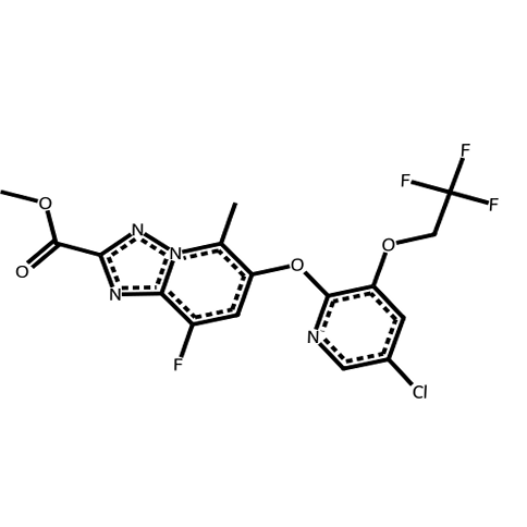 COC(=O)c1nc2c(F)cc(Oc3ncc(Cl)cc3OCC(F)(F)F)c(C)n2n1